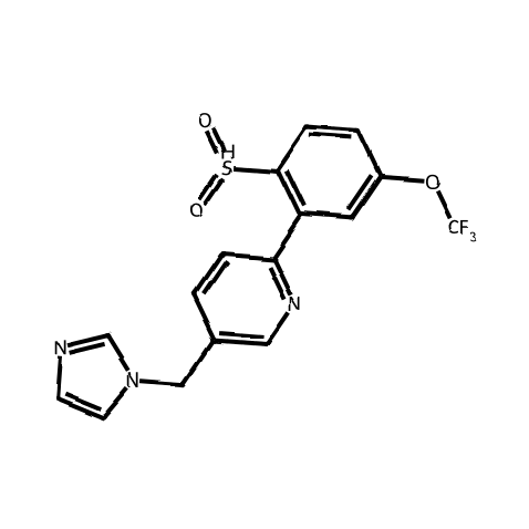 O=[SH](=O)c1ccc(OC(F)(F)F)cc1-c1ccc(Cn2ccnc2)cn1